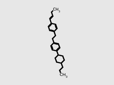 CCC=Cc1ccc(CCc2ccc(C3CCC(CCC)CC3)cc2)cc1